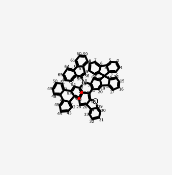 c1ccc2c(c1)-c1ccccc1C21c2ccccc2-c2cc(-c3cccc4c3oc3ccccc34)c(N(c3ccc4c5ccccc5c5ccccc5c4c3)c3cc4ccccc4c4ccccc34)cc21